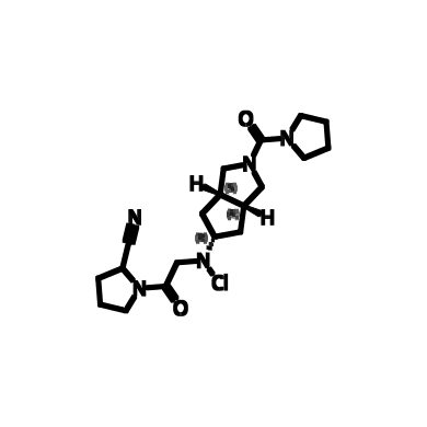 N#CC1CCCN1C(=O)CN(Cl)[C@@H]1C[C@@H]2CN(C(=O)N3CCCC3)C[C@@H]2C1